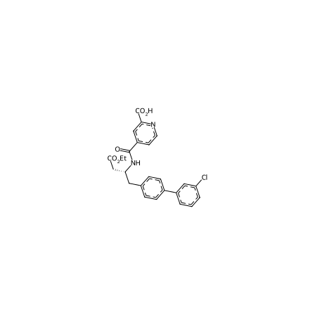 CCOC(=O)C[C@@H](Cc1ccc(-c2cccc(Cl)c2)cc1)NC(=O)c1ccnc(C(=O)O)c1